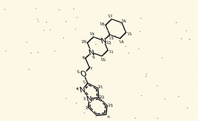 c1ccn2nc(OCCN3CCN(C4CCCCC4)CC3)cc2c1